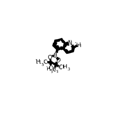 [2H]c1ccc2c(B3OC(C)(C)C(C)(C)O3)cccc2n1